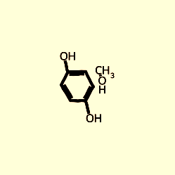 CO.Oc1ccc(O)cc1